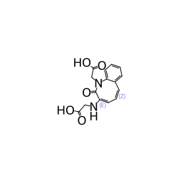 O=C(O)CN/C1=C/C=C\c2ccccc2N(CC(=O)O)C1=O